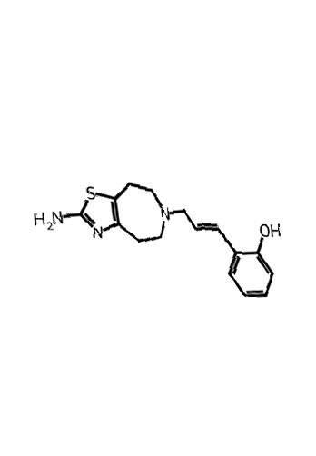 Nc1nc2c(s1)CCN(CC=Cc1ccccc1O)CC2